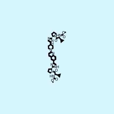 COC(=O)N[C@H](C(=O)N1CCC[C@H]1c1nc(-c2ccc3nc(N4CCC(c5cnc([C@@H]6CCCN6C(=O)[C@@H](NC(=O)OC)C6CC6)[nH]5)CC4)ccc3c2)c[nH]1)C1CC1